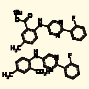 Cc1ccc(Nc2cnc(-c3ccccc3F)nc2)c(C(=O)O)c1.Cc1ccc(Nc2cnc(-c3ccccc3F)nc2)c(C(=O)OC(C)(C)C)c1